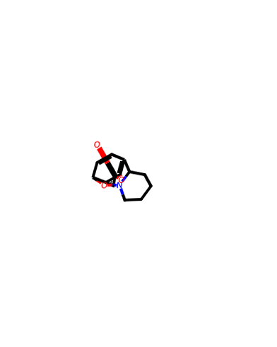 O=C1C=C2C(=C3C=CC2ON2CCCCC32)O1